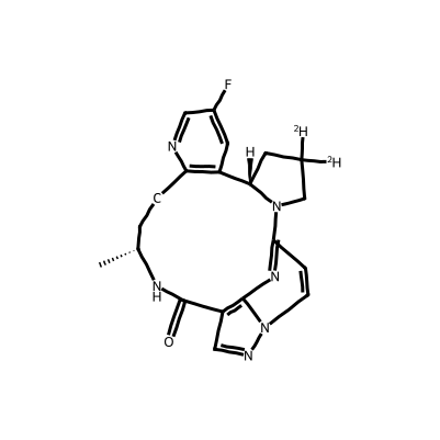 [2H]C1([2H])C[C@H]2c3cc(F)cnc3CC[C@@H](C)NC(=O)c3cnn4ccc(nc34)N2C1